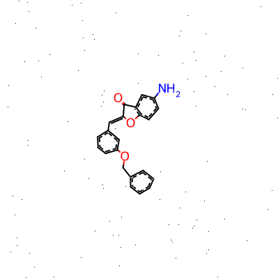 Nc1ccc2c(c1)C(=O)/C(=C/c1cccc(OCc3ccccc3)c1)O2